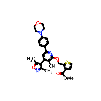 COC(=O)c1ccsc1COc1nc(-c2ccc(N3CCOCC3)cc2)cc(-c2c(C)noc2C)c1C#N